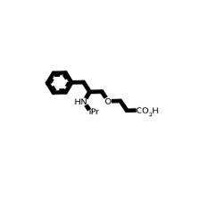 CC(C)NC(COCCC(=O)O)Cc1ccccc1